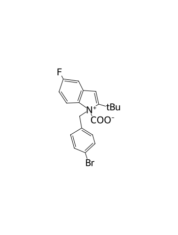 CC(C)(C)C1=Cc2cc(F)ccc2[N+]1(Cc1ccc(Br)cc1)C(=O)[O-]